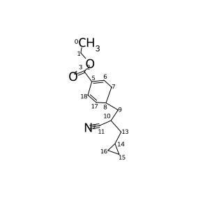 CCOC(=O)C1=CCC(CC(C#N)CC2CC2)C=C1